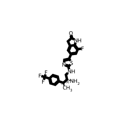 C[C@@H](c1ccc(C(F)(F)F)cc1)[C@@H](N)CNc1ncc(-c2cc(F)c3c(c2)CC(=O)N3)s1